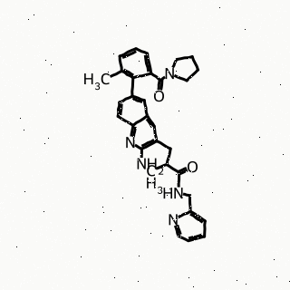 Cc1cccc(C(=O)N2CCCC2)c1-c1ccc2nc(N)c(CC(C)C(=O)NCc3ccccn3)cc2c1